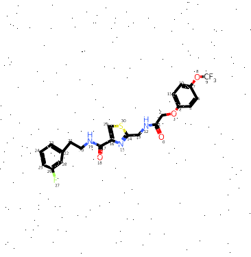 O=C(COc1ccc(OC(F)(F)F)cc1)NCc1nc(C(=O)NCCc2cccc(F)c2)cs1